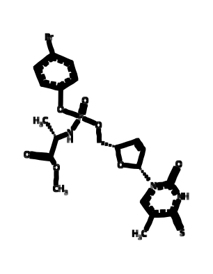 COC(=O)[C@H](C)NP(=O)(OC[C@@H]1C=C[C@H](n2cc(C)c(=S)[nH]c2=O)O1)Oc1ccc(Br)cc1